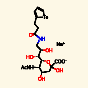 CC(=O)N[C@H]1[C@H]([C@H](O)[C@H](O)CNC(=O)CCc2ccc[te]2)OC(O)(C(=O)[O-])C[C@@H]1O.[Na+]